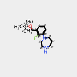 CC(C)(C)[Si](C)(C)OCc1cccc(N2CCCNCC2)c1F